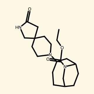 CCOC(=O)N1CC2CCC(N3CCC4(CC3)CNC(=O)C4)CC1CC2